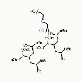 CCCCCCCCN(CCCCCCCC)C(CC(CC)CCCC)CC(CC)CCCC.CCCCCCCCN(CCCCCCCC)C(CC(CC)CCCC)CC(CC)CCCC.O=C(O)COCC(=O)O